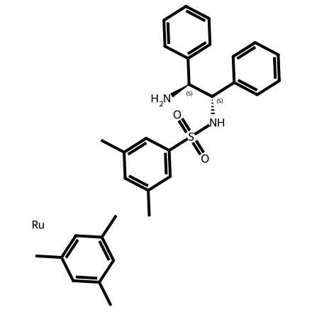 Cc1cc(C)cc(C)c1.Cc1cc(C)cc(S(=O)(=O)N[C@@H](c2ccccc2)[C@@H](N)c2ccccc2)c1.[Ru]